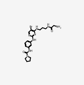 NCC(=O)NCCCNc1nc(Nc2cccc(NC(=O)N3CCCC3)c2)ncc1Br